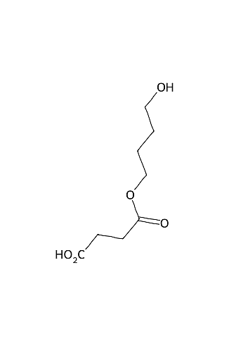 O=C(O)CCC(=O)OCCCCO